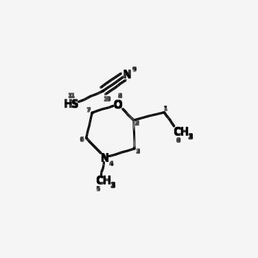 CCC1CN(C)CCO1.N#CS